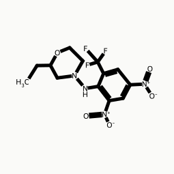 CCC1CN(Nc2c([N+](=O)[O-])cc([N+](=O)[O-])cc2C(F)(F)F)CCO1